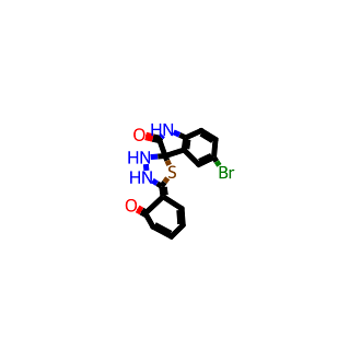 O=C1C=CC=C/C1=C1/NNC2(S1)C(=O)Nc1ccc(Br)cc12